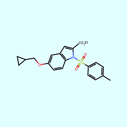 CCOC(=O)c1cc2cc(OCC3CC3)ccc2n1S(=O)(=O)c1ccc(C)cc1